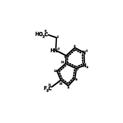 O=C(O)CNc1cnnc2ccc(C(F)(F)F)cc12